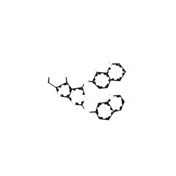 CCc1[nH]c2nc(Oc3ccc4cccnc4c3)nc(Oc3ccc4cccnc4c3)c2c1Br